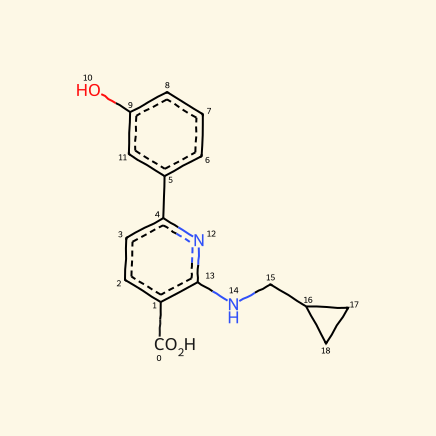 O=C(O)c1ccc(-c2cccc(O)c2)nc1NCC1CC1